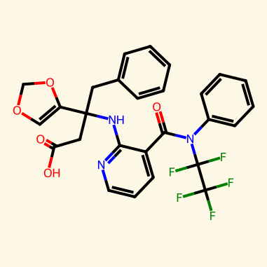 O=C(O)CC(Cc1ccccc1)(Nc1ncccc1C(=O)N(c1ccccc1)C(F)(F)C(F)(F)F)C1=COCO1